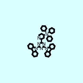 c1ccc([Si](c2ccccc2)(c2ccccc2)c2ccnc(-c3nc(-n4c5ccccc5c5ccccc54)nc(-n4c5ccccc5c5ccccc54)n3)c2)cc1